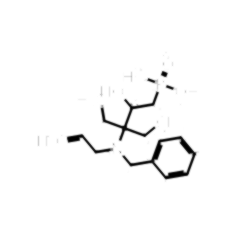 C=CCN(Cc1ccccc1)C(CC)(CC)C(O)CP(=O)(O)O